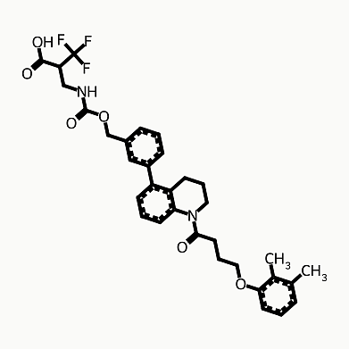 Cc1cccc(OCCCC(=O)N2CCCc3c(-c4cccc(COC(=O)NCC(C(=O)O)C(F)(F)F)c4)cccc32)c1C